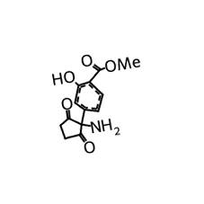 COC(=O)c1ccc(C2(N)C(=O)CCC2=O)cc1O